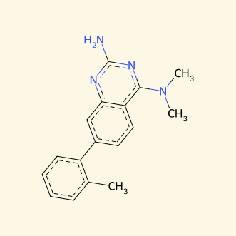 Cc1ccccc1-c1ccc2c(N(C)C)nc(N)nc2c1